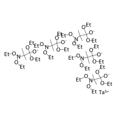 CCON(OCC)C(C)(C)C([O-])(OCC)OCC.CCON(OCC)C(C)(C)C([O-])(OCC)OCC.CCON(OCC)C(C)(C)C([O-])(OCC)OCC.CCON(OCC)C(C)(C)C([O-])(OCC)OCC.CCON(OCC)C(C)(C)C([O-])(OCC)OCC.[Ta+5]